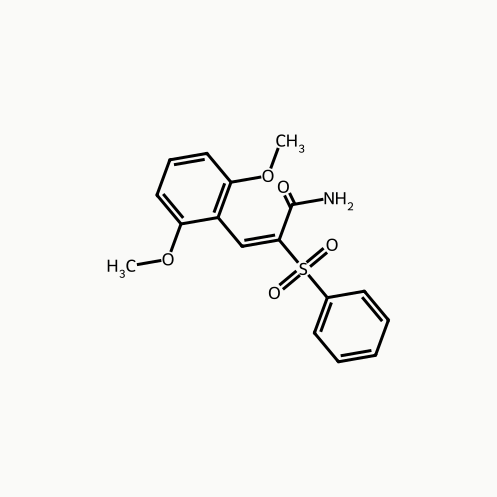 COc1cccc(OC)c1C=C(C(N)=O)S(=O)(=O)c1ccccc1